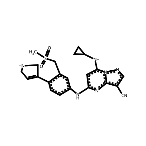 CS(=O)(=O)Cc1cc(Nc2cc(NC3CC3)n3ncc(C#N)c3n2)ccc1C1=CCNC1